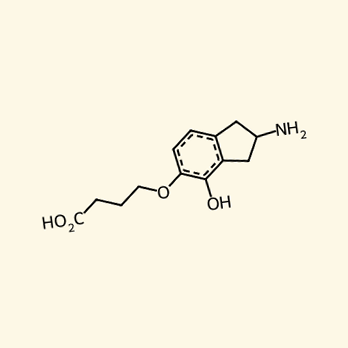 NC1Cc2ccc(OCCCC(=O)O)c(O)c2C1